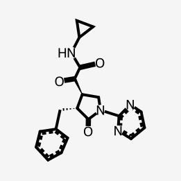 O=C(NC1CC1)C(=O)[C@H]1CN(c2ncccn2)C(=O)[C@@H]1Cc1ccccc1